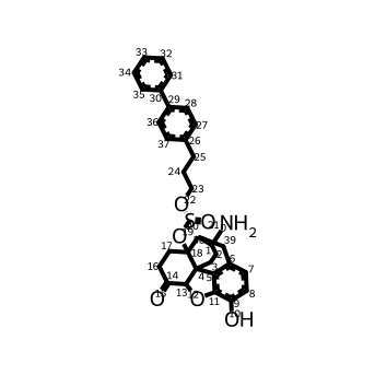 NC1CCC23c4c5ccc(O)c4OC2C(=O)CCC3(OS(=O)OCCCc2ccc(-c3ccccc3)cc2)C1C5